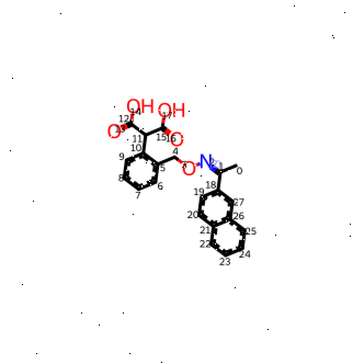 C/C(=N/OCc1ccccc1C(C(=O)O)C(=O)O)c1ccc2ccccc2c1